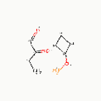 CCC(=O)C=O.POC1CCC1